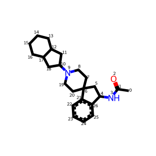 CC(=O)NC1CC2(CCN(C3CC4CCCCC4C3)CC2)c2ccccc21